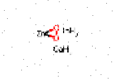 [GaH3].[InH3].[O]1[O][Zn]1